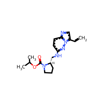 C=Cc1cnc2ccc(NC[C@@H]3CCCN3C(=O)OC(C)C)nn12